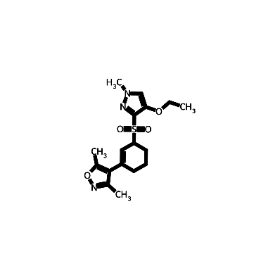 CCOc1cn(C)nc1S(=O)(=O)C1C=C(c2c(C)noc2C)CCC1